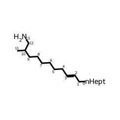 CCCCCCCCC=CCCCCCCC(C)CN